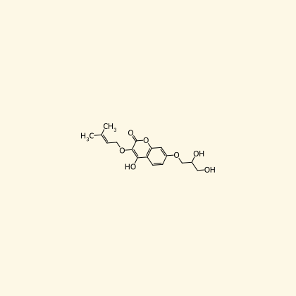 CC(C)=CCOc1c(O)c2ccc(OCC(O)CO)cc2oc1=O